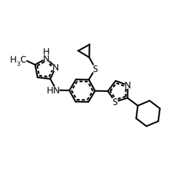 Cc1cc(Nc2ccc(-c3cnc(C4CCCCC4)s3)c(SC3CC3)c2)n[nH]1